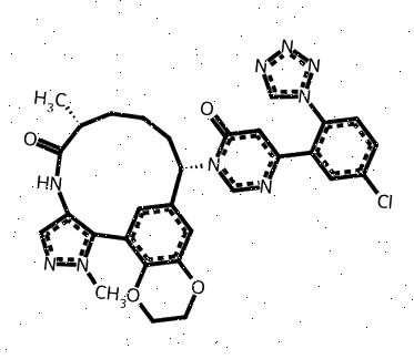 C[C@@H]1CCC[C@H](n2cnc(-c3cc(Cl)ccc3-n3cnnn3)cc2=O)c2cc3c(c(c2)-c2c(cnn2C)NC1=O)OCCO3